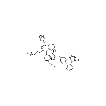 CCCCCC(c1ccccc1C(=O)OCC)C1CCC(C)n2cc(Cc3ccc(-c4ccccc4-c4nnn[nH]4)cc3)c(=O)n21